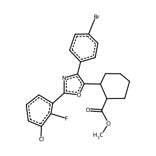 COC(=O)C1CCCCC1c1oc(-c2cccc(Cl)c2F)nc1-c1ccc(Br)cc1